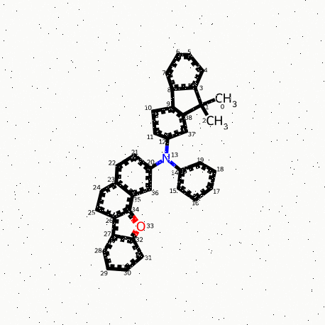 CC1(C)c2ccccc2-c2ccc(N(c3ccccc3)c3ccc4ccc5c6ccccc6oc5c4c3)cc21